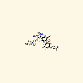 CCCN(C)C(=O)OCc1c(-c2ccc(O[C@H]3CCC[C@H](C(=O)O)C3)c(C)c2)nnn1C